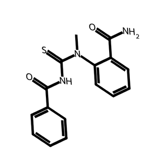 CN(C(=S)NC(=O)c1ccccc1)c1ccccc1C(N)=O